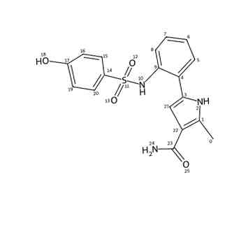 Cc1[nH]c(-c2ccccc2NS(=O)(=O)c2ccc(O)cc2)cc1C(N)=O